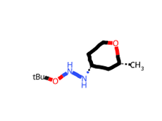 C[C@@H]1C[C@H](NNOC(C)(C)C)CCO1